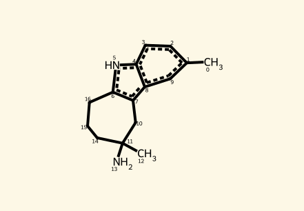 Cc1ccc2[nH]c3c(c2c1)CC(C)(N)CCC3